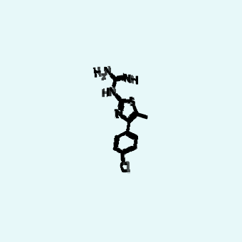 Cc1sc(NC(=N)N)nc1-c1ccc(Cl)cc1